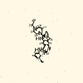 C#Cc1cccc(Nc2ncnc3cc(OC)c(NC(=O)N4CCN(CC)CC4)cc23)c1